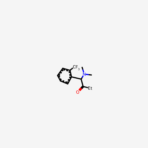 CCC(=O)C(c1ccccc1C(F)(F)F)N(C)C